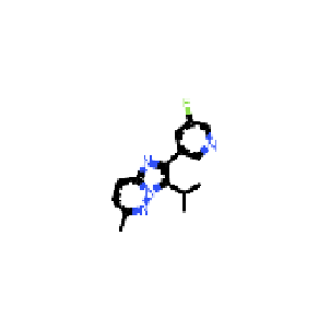 Cc1ccc2nc(-c3cncc(F)c3)c(C(C)C)n2n1